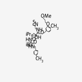 CC[C@H](C)[C@H](NC(=O)[C@@H](C[C@H](O)[C@H](COCc1ccc(C)c(OCCCOC)c1)NCc1cscn1)C(C)C)C(=O)NCc1ccc(C)cc1